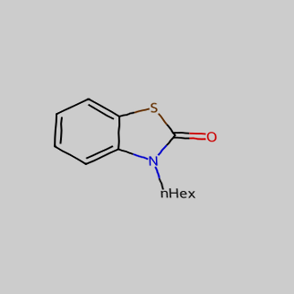 CCCCCCn1c(=O)sc2ccccc21